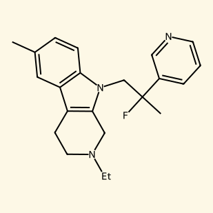 CCN1CCc2c(n(CC(C)(F)c3cccnc3)c3ccc(C)cc23)C1